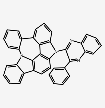 c1ccc(-c2nc3ccccc3nc2-n2c3cccc4c5ccccc5n5c6ccccc6c6ccc2c(c43)c65)cc1